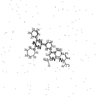 CC(C)C1=NC2c3nc(C(C)C)cc(-c4cccc(-c5nc(-c6c#cccc6)nc(C6CCCCCC6)n5)c4)c3C=CC2C=C1